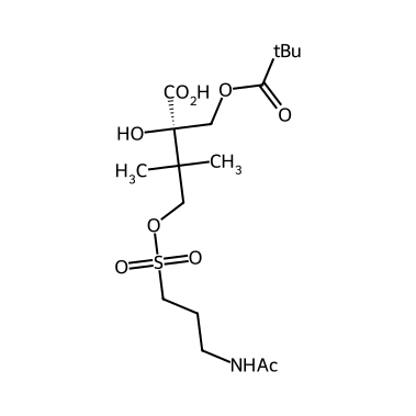 CC(=O)NCCCS(=O)(=O)OCC(C)(C)[C@@](O)(COC(=O)C(C)(C)C)C(=O)O